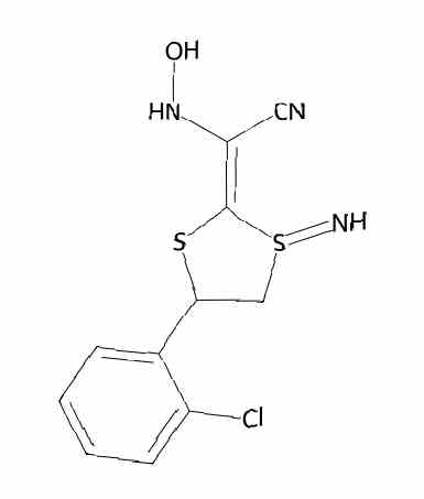 N#CC(NO)=C1SC(c2ccccc2Cl)CS1=N